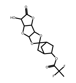 CC(F)(F)C(=O)OC1CC2CC1CC21OC2OC3C(O)C(=O)OC3C2O1